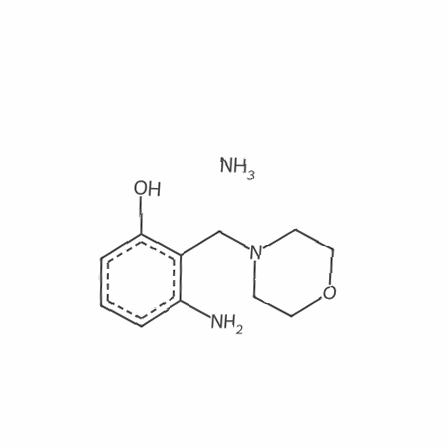 N.Nc1cccc(O)c1CN1CCOCC1